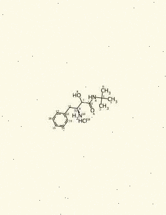 CC(C)(C)NC(=O)C(O)[C@@H](N)Cc1ccccc1.Cl